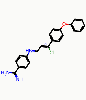 N=C(N)c1ccc(NC/C=C(\Cl)c2ccc(Oc3ccccc3)cc2)cc1